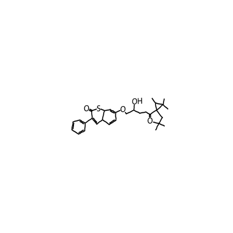 CC1C(C)(C)C1(CC(C)(C)C)C(=O)CCC(O)COC1=CC2SC(=O)C(c3ccccc3)=CC2C=C1